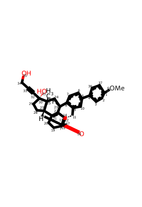 COc1ccc(-c2ccc3c(c2)C[C@]24CCC(=O)C=C2CCC2=C4[C@@H]3C[C@@]3(C)[C@H]2CC[C@@]3(O)C#CCO)cc1